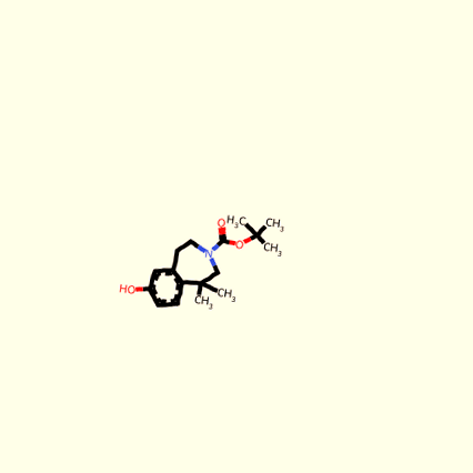 CC(C)(C)OC(=O)N1CCc2cc(O)ccc2C(C)(C)C1